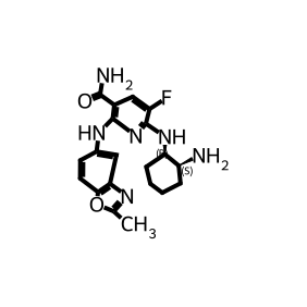 Cc1nc2cc(Nc3nc(N[C@@H]4CCCC[C@@H]4N)c(F)cc3C(N)=O)ccc2o1